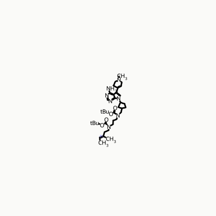 C/C=C(\C)CCN(CCCN(CC1CCC(n2cc(C3=CCN(C)CC3)c3c(N)ncnc32)C1)C(=O)OC(C)(C)C)C(=O)OC(C)(C)C